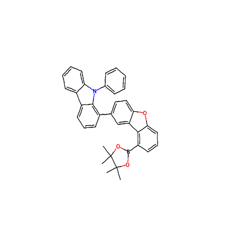 CC1(C)OB(c2cccc3oc4ccc(-c5cccc6c7ccccc7n(-c7ccccc7)c56)cc4c23)OC1(C)C